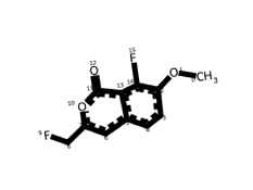 COc1ccc2cc(CF)oc(=O)c2c1F